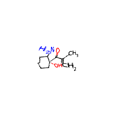 C=C(C)C(=O)C1(O)CCCCC1N